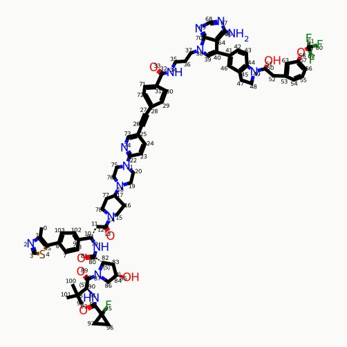 Cc1ncsc1-c1ccc([C@H](CC(=O)N2CCC(N3CCN(c4ccc(C#Cc5ccc(C(=O)NCCCn6cc(-c7ccc8c(c7)CCN8C(O)Cc7cccc(OC(F)(F)F)c7)c7c(N)ncnc76)cc5)cn4)CC3)CC2)NC(=O)[C@@H]2C[C@@H](O)CN2C(=O)[C@@H](NC(=O)C2(F)CC2)C(C)(C)C)cc1